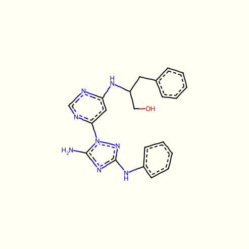 Nc1nc(Nc2ccccc2)nn1-c1cc(NC(CO)Cc2ccccc2)ncn1